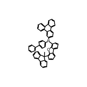 CC1(c2cccc3c2oc2c(N(c4ccc(-c5ccccc5)cc4)c4ccc5c6ccccc6c6ccccc6c5c4)cccc23)c2ccccc2-c2ccccc21